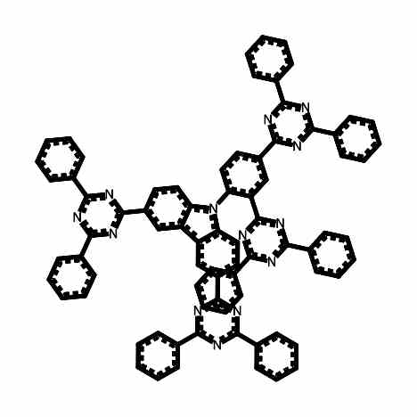 c1ccc(-c2nc(-c3ccccc3)nc(-c3ccc(-n4c5ccc(-c6nc(-c7ccccc7)nc(-c7ccccc7)n6)cc5c5cc(-c6nc(-c7ccccc7)nc(-c7ccccc7)n6)ccc54)c(-c4nc(-c5ccccc5)nc(-c5ccccc5)n4)c3)n2)cc1